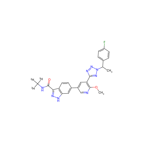 [2H]C([2H])([2H])NC(=O)c1n[nH]c2cc(-c3cnc(OC)c(-c4nnn(C(C)c5ccc(F)cc5)n4)c3)ccc12